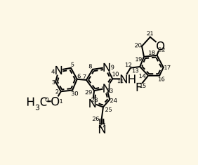 COc1cncc(-c2cnc(NCc3c(F)ccc4c3CCO4)n3cc(C#N)nc23)c1